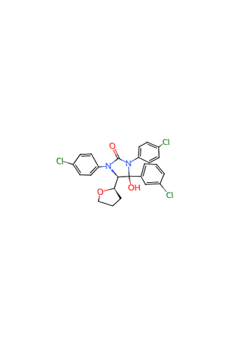 O=C1N(c2ccc(Cl)cc2)[C@H]([C@H]2CCCO2)C(O)(c2cccc(Cl)c2)N1c1ccc(Cl)cc1